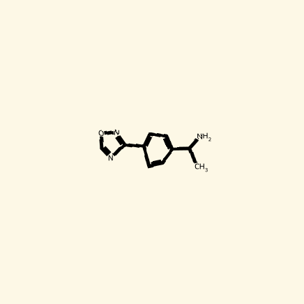 CC(N)c1ccc(-c2ncon2)cc1